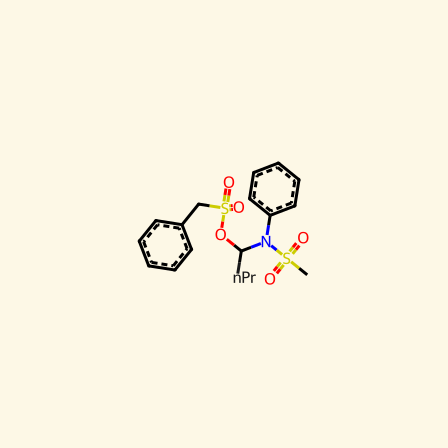 CCCC(OS(=O)(=O)Cc1ccccc1)N(c1ccccc1)S(C)(=O)=O